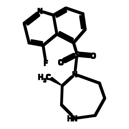 C[C@H]1CNCCCN1S(=O)(=O)c1cccc2nccc(F)c12